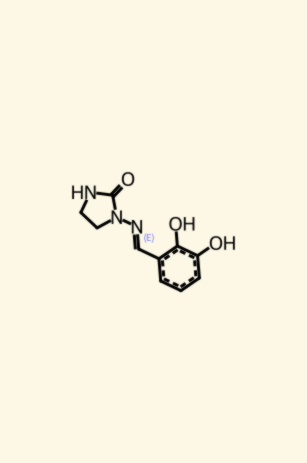 O=C1NCCN1/N=C/c1cccc(O)c1O